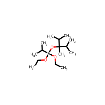 CCO[Si](OCC)(OC(C)(C(C)C)C(C)C)C(C)C